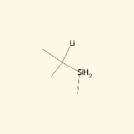 [Li][C](C)(C)[SiH2]C